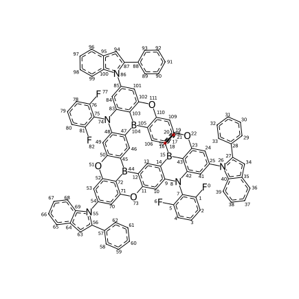 Fc1cccc(F)c1N1c2cc3c(cc2B2c4ccccc4Oc4cc(-n5c(-c6ccccc6)cc6ccccc65)cc1c42)B1c2cc4c(cc2Oc2cc(-n5c(-c6ccccc6)cc6ccccc65)cc(c21)O3)N(c1c(F)cccc1F)c1cc(-n2c(-c3ccccc3)cc3ccccc32)cc2c1B4c1ccccc1O2